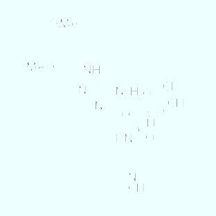 COc1ccc(CNc2ncnc3c2c(C2CCCC2)cn3[C@@H]2O[C@H](C(=O)NC3CCN(C)CC3)[C@H]3OC(C)(C)O[C@H]32)c(OC)c1